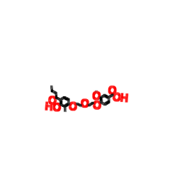 CCCC(=O)c1ccc(OCCOCCOc2ccc(C(=O)O)cc2OC)c(C)c1O